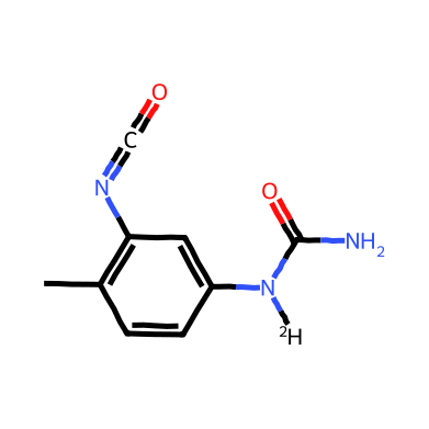 [2H]N(C(N)=O)c1ccc(C)c(N=C=O)c1